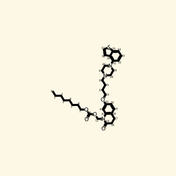 CCCCCCCCOC(=O)OCN1C(=O)CCc2ccc(OCCCCN3CCN(c4cccc5sccc45)CC3)cc21